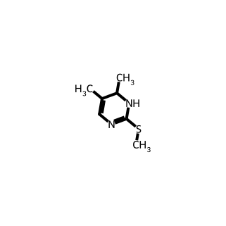 CSC1=NC=C(C)C(C)N1